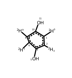 [2H]c1c([2H])c(O)c([2H])c([2H])c1O